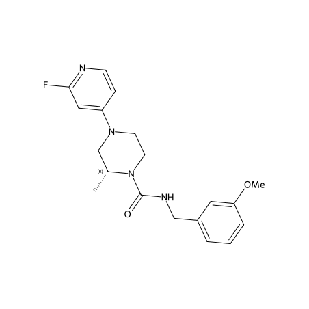 COc1cccc(CNC(=O)N2CCN(c3ccnc(F)c3)C[C@H]2C)c1